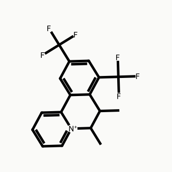 CC1c2c(cc(C(F)(F)F)cc2C(F)(F)F)-c2cccc[n+]2C1C